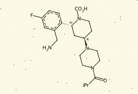 CC(C)C(=O)N1CCN([C@@H]2CCN(C(=O)O)[C@@H](c3ccc(F)cc3CN)C2)CC1